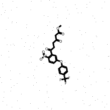 COC(=O)CC(=O)CCC(=O)c1cc(Oc2ccc(C(F)(F)F)cc2)ccc1[N+](=O)[O-]